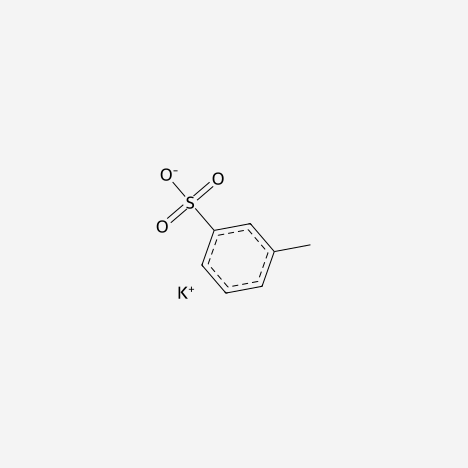 Cc1cccc(S(=O)(=O)[O-])c1.[K+]